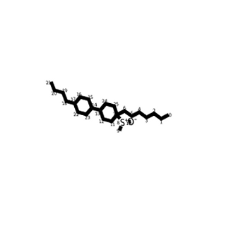 CCCCCCCC1([S+](C)[O-])CCC(C2CCC(CCCC)CC2)CC1